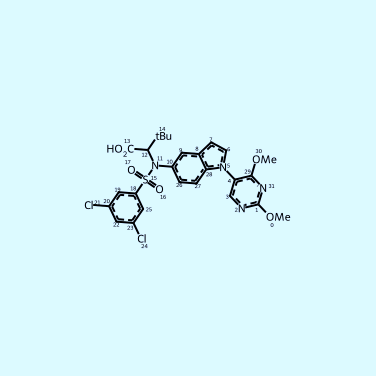 COc1ncc(-n2ccc3cc(N(C(C(=O)O)C(C)(C)C)S(=O)(=O)c4cc(Cl)cc(Cl)c4)ccc32)c(OC)n1